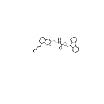 O=C(NCCc1cc2cccc(C=CCl)c2cn1)OCC1c2ccccc2-c2ccccc21